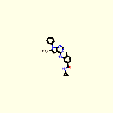 CCOC(=O)c1cc2c(Nc3cc(C(=O)NC4CC4)ccc3C)ncnc2n1-c1ccccc1